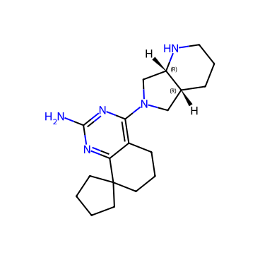 Nc1nc(N2C[C@H]3CCCN[C@H]3C2)c2c(n1)C1(CCCC1)CCC2